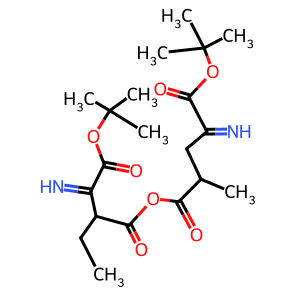 CCC(C(=N)C(=O)OC(C)(C)C)C(=O)OC(=O)C(C)CC(=N)C(=O)OC(C)(C)C